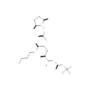 CCCCOC(=O)[C@H](CC(=O)ON1C(=O)CCC1=O)CC(=O)[C@H](C)OC(=O)OC(C)(C)C